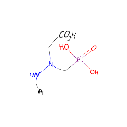 CC(C)NN(CC(=O)O)CP(=O)(O)O